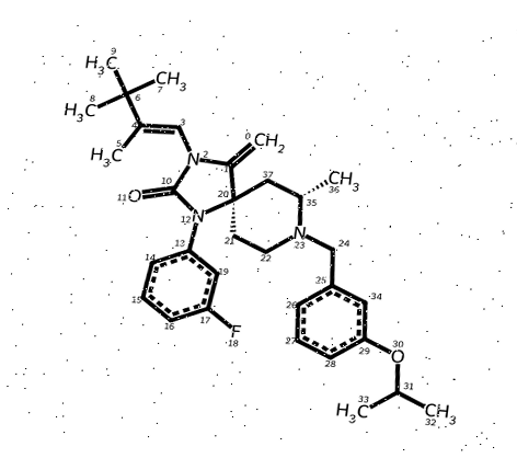 C=C1N(/C=C(\C)C(C)(C)C)C(=O)N(c2cccc(F)c2)[C@@]12CCN(Cc1cccc(OC(C)C)c1)[C@@H](C)C2